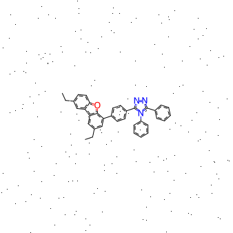 CCc1ccc2oc3c(-c4ccc(-c5nnc(-c6ccccc6)n5-c5ccccc5)cc4)cc(CC)cc3c2c1